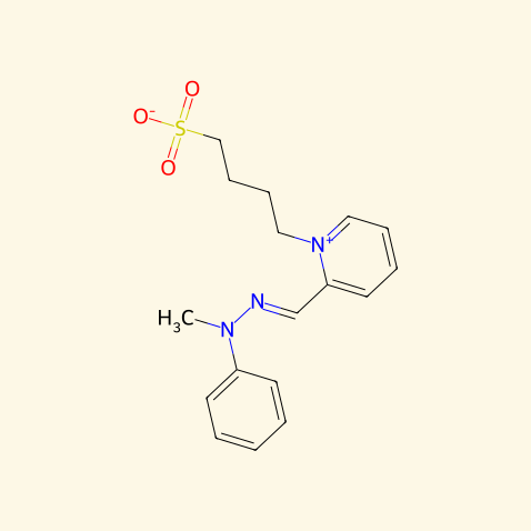 CN(/N=C/c1cccc[n+]1CCCCS(=O)(=O)[O-])c1ccccc1